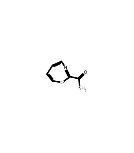 NC(=O)C1=NC=CC=CO1